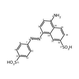 Nc1ccc(N=Nc2ccc(S(=O)(=O)O)cc2)c2cc(S(=O)(=O)O)ccc12